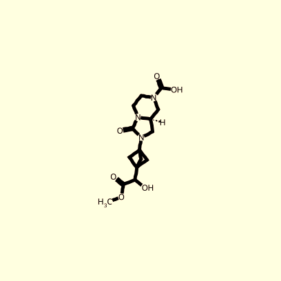 COC(=O)C(O)C12CC(N3C[C@@H]4CN(C(=O)O)CCN4C3=O)(C1)C2